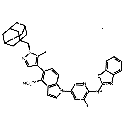 Cc1cc(-n2ccc3c(C(=O)O)c(-c4cnn(CC56CC7CC(CC(C7)C5)C6)c4C)ccc32)cnc1Nc1nc2ccccc2s1